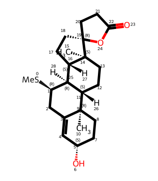 CS[C@@H]1CC2=C[C@@H](O)CC[C@]2(C)[C@H]2CC[C@@]3(C)[C@@H](CC[C@@]34CCC(=O)O4)[C@H]12